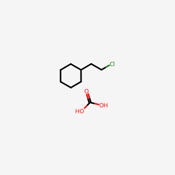 ClCCC1CCCCC1.O=C(O)O